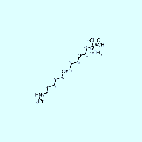 CC(C)NCCCCCOCCCOCCC(C)(C)C=O